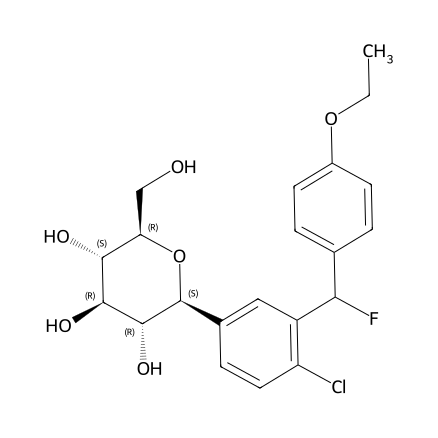 CCOc1ccc(C(F)c2cc([C@@H]3O[C@H](CO)[C@@H](O)[C@H](O)[C@H]3O)ccc2Cl)cc1